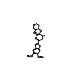 COc1cc2cc(C(=O)C[C@H](C)C(=O)OC3CCSC[C@@H]3O)sc2cc1OC